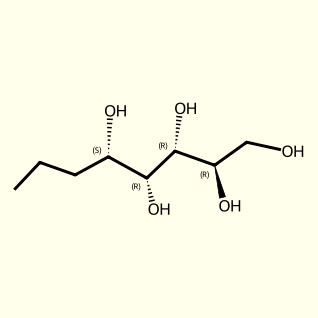 CCC[C@H](O)[C@@H](O)[C@H](O)[C@H](O)CO